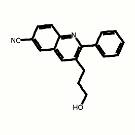 N#Cc1ccc2nc(-c3ccccc3)c(CCCO)cc2c1